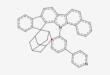 c1cc(-c2ccncc2)cc(-n2c3c4c(ccc3c3ccc5ccccc5c32)-c2ccccc2C42C3CC4CC(C3)CC2C4)c1